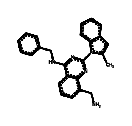 Cc1cc2ccccc2n1-c1nc(NCc2ccccc2)c2cccc(CN)c2n1